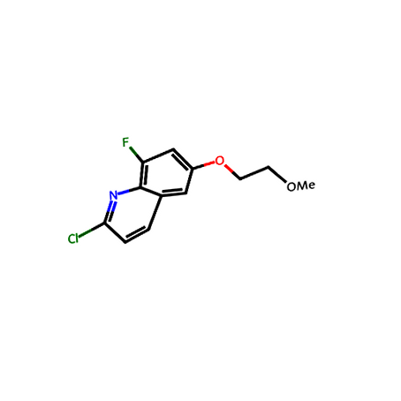 COCCOc1cc(F)c2nc(Cl)ccc2c1